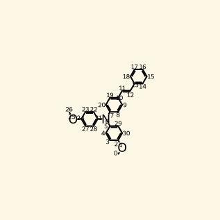 COc1ccc(N(c2ccc(C=Cc3ccccc3)cc2)c2ccc(OC)cc2)cc1